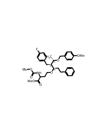 COC(=O)C(CCO[C@H](CCc1ccccc1)[C@@H](Cc1ccc(F)cc1)[C@H](C)OCc1ccc(OC)cc1)NC(=O)OC(C)(C)C